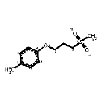 Cc1ccc(OCCCS(C)(=O)=O)cc1